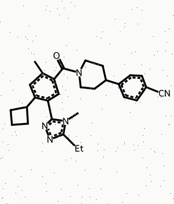 CCc1nnc(-c2cc(C(=O)N3CCC(c4ccc(C#N)cc4)CC3)c(C)cc2C2CCC2)n1C